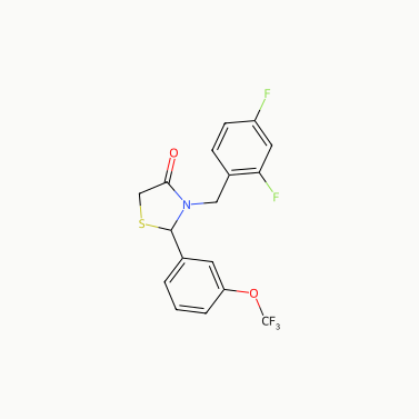 O=C1CSC(c2cccc(OC(F)(F)F)c2)N1Cc1ccc(F)cc1F